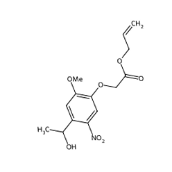 C=CCOC(=O)COc1cc([N+](=O)[O-])c(C(C)O)cc1OC